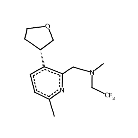 Cc1ccc([C@@H]2CCOC2)c(CN(C)CC(F)(F)F)n1